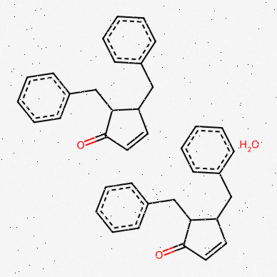 O.O=C1C=CC(Cc2ccccc2)C1Cc1ccccc1.O=C1C=CC(Cc2ccccc2)C1Cc1ccccc1